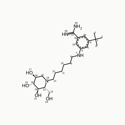 CC(C)(C)c1cc(NCCCCCCN2C[C@H](O)[C@@H](O)[C@H](O)[C@H]2CO)cc(C(=N)N)c1